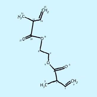 C=CC(C)C(=O)OCCOC(=O)C(C)C=C